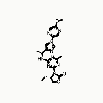 CC[C@H]1COC(=O)N1c1nc(C)nc(N[C@@H](C)c2cn(-c3cnc(OC)cn3)cn2)n1